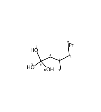 CC(C)CC(C)CC(O)(O)O